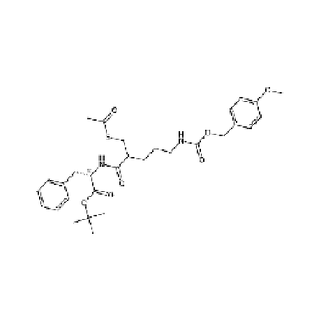 COc1ccc(COC(=O)NCCCC(CSC(C)=O)C(=O)N[C@@H](Cc2ccccc2)C(=O)OC(C)(C)C)cc1